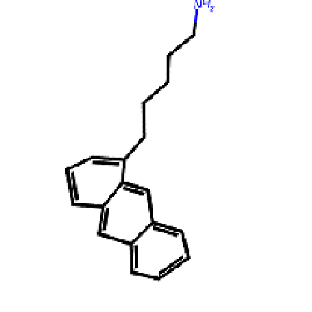 NCCCCCc1cccc2cc3ccccc3cc12